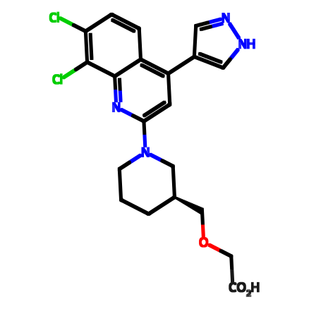 O=C(O)COC[C@H]1CCCN(c2cc(-c3cn[nH]c3)c3ccc(Cl)c(Cl)c3n2)C1